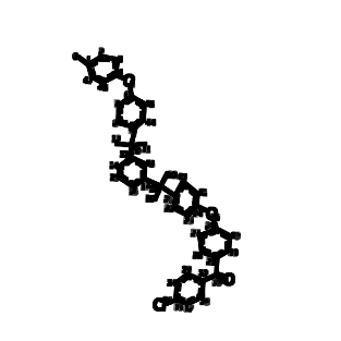 Cc1ccc(Oc2ccc(C(C)(C)c3cccc(C(C)(C)c4ccc(Oc5ccc(C(=O)c6ccc(Cl)cc6)cc5)cc4)c3)cc2)cc1